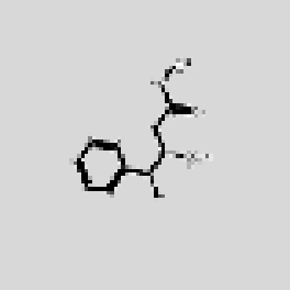 C[C@@H](c1ccccc1)[C@@H](CC(=O)OC(C)(C)C)C(=O)O